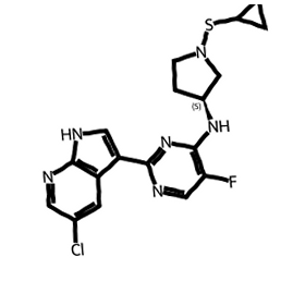 Fc1cnc(-c2c[nH]c3ncc(Cl)cc23)nc1N[C@H]1CCN(SC2CC2)C1